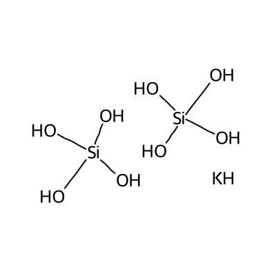 O[Si](O)(O)O.O[Si](O)(O)O.[KH]